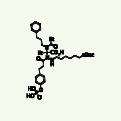 CCCCCCCCCCCCCCCCNN(C(=O)CCc1ccc(OP(=O)(O)O)cc1)C(CC)(C(=O)O)N(CCCc1ccccc1)C(=O)CC